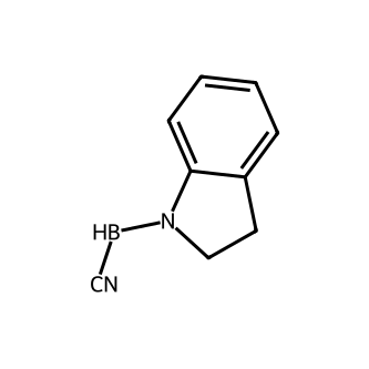 N#CBN1CCc2ccccc21